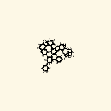 c1ccc(-c2cc(-c3ccccc3)c(-c3cc4c5c6c(ncc5n5c7cnc8oc9ccccc9c8c7c(c3)c45)C3CC4CC5CC6CC543)c(-c3ccccc3)c2)cc1